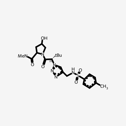 CNC(=O)C1CC(O)CN1C(=O)[C@@H](n1cc(CNS(=O)(=O)c2ccc(C)cc2)nn1)C(C)(C)C